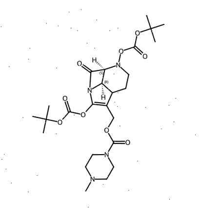 CN1CCN(C(=O)OCC2=C(OC(=O)OC(C)(C)C)N3C(=O)[C@@H]4[C@H]3C2CCN4OC(=O)OC(C)(C)C)CC1